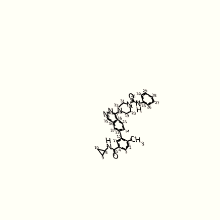 Cc1ccc(C(=O)NC2CC2)cc1-c1ccc2c(N3CCN(C(=O)Nc4ccccc4)CC3)nncc2c1